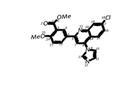 COC(=O)c1cc(-c2cc(-n3ccnc3)c3ccc(Cl)cc3n2)ccc1OC